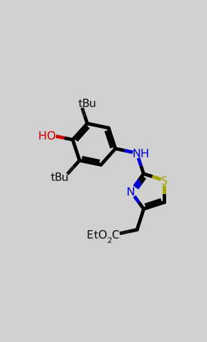 CCOC(=O)Cc1csc(Nc2cc(C(C)(C)C)c(O)c(C(C)(C)C)c2)n1